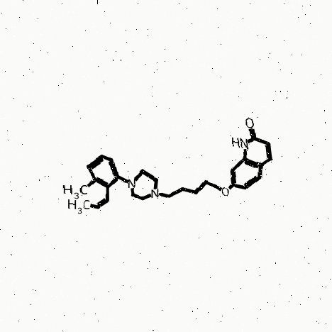 C/C=C\c1c(C)cccc1N1CCN(CCCCOc2ccc3ccc(=O)[nH]c3c2)CC1